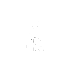 CC(C)c1nc2ccccc2c(=O)n1NC(=O)C1CC1c1ccc(Cl)cc1